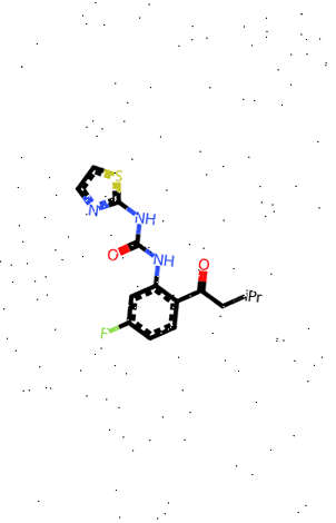 CC(C)CC(=O)c1ccc(F)cc1NC(=O)Nc1nccs1